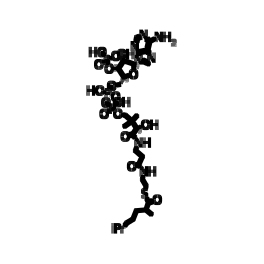 CC(C)CCCC(C)C(=O)SCCNC(=O)CCNC(=O)[C@H](O)C(C)(C)COP(=O)(O)OP(=O)(O)OC[C@H]1O[C@@H](n2cnc3c(N)ncnc32)[C@H](O)[C@@H]1OP(=O)(O)O